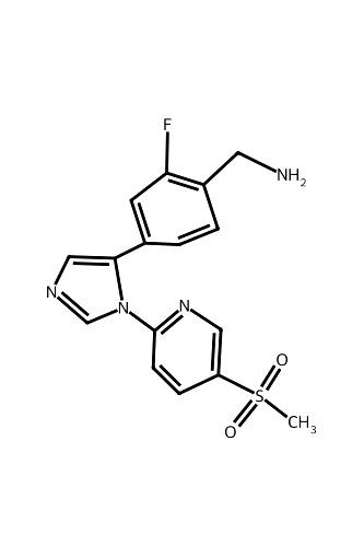 CS(=O)(=O)c1ccc(-n2cncc2-c2ccc(CN)c(F)c2)nc1